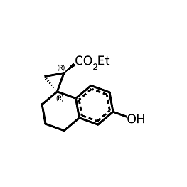 CCOC(=O)[C@@H]1C[C@]12CCCc1cc(O)ccc12